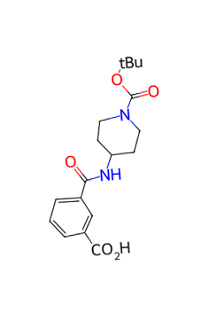 CC(C)(C)OC(=O)N1CCC(NC(=O)c2cccc(C(=O)O)c2)CC1